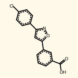 O=C(O)c1cccc(-c2cc(-c3ccc(Cl)cc3)no2)c1